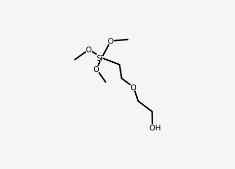 CO[Si](CCOCCO)(OC)OC